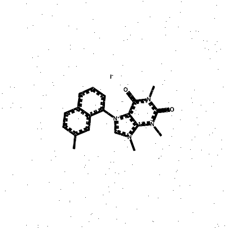 Cc1ccc2cccc(-[n+]3cn(C)c4c3c(=O)n(C)c(=O)n4C)c2c1.[I-]